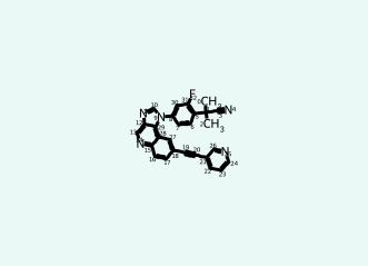 CC(C)(C#N)c1ccc(-n2cnc3cnc4ccc(C#Cc5cccnc5)cc4c32)cc1F